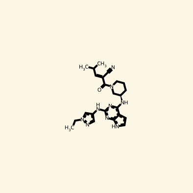 CCn1cc(Nc2nc(N[C@@H]3CCCN(C(=O)/C(C#N)=C/C(C)C)C3)c3cc[nH]c3n2)cn1